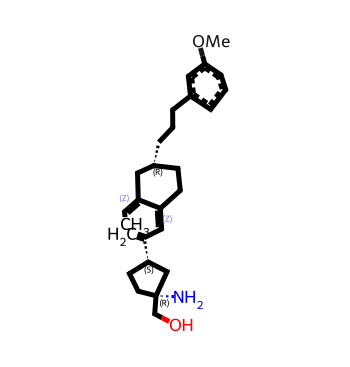 C=C(/C=C1/CC[C@@H](CCCc2cccc(OC)c2)C/C1=C/C)[C@H]1CC[C@](N)(CO)C1